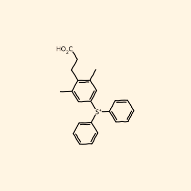 Cc1cc([S+](c2ccccc2)c2ccccc2)cc(C)c1CCC(=O)O